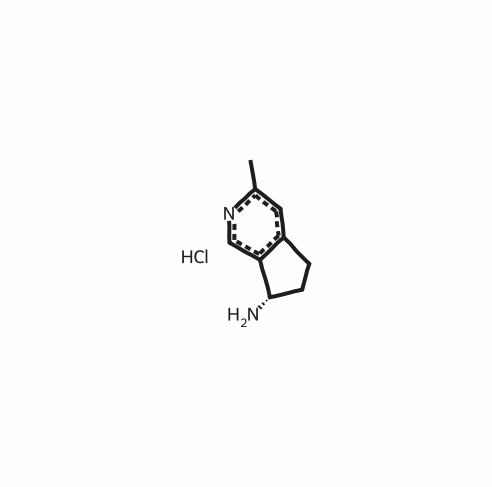 Cc1cc2c(cn1)[C@@H](N)CC2.Cl